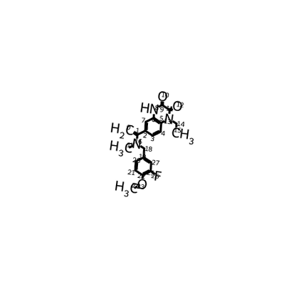 C=C(c1ccc2c(c1)[nH]c(=O)c(=O)n2CC)N(C)Cc1ccc(OC)c(F)c1